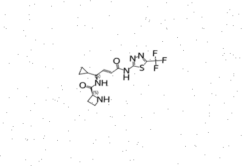 O=C(C=C[C@@H](NC(=O)[C@@H]1CCN1)C1CC1)Nc1nnc(C(F)(F)F)s1